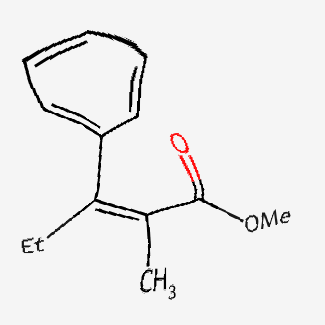 CCC(=C(C)C(=O)OC)c1ccccc1